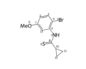 COc1ccc(Br)c(NC(=S)C2CC2)c1